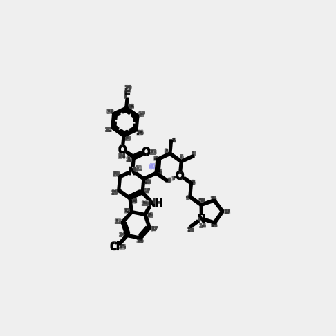 C/C(=C\C(C)C(C)OCCC1CCCN1C)C1C2=C(CCN1C(=O)Oc1ccc(F)cc1)C1C=C(Cl)C=CC1N2